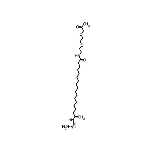 C=C(CCCCCCCCCCCCCCCC(=O)NCCOCCOCC(C)=O)N/N=N\N